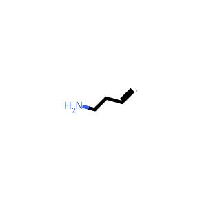 [CH]=CCCN